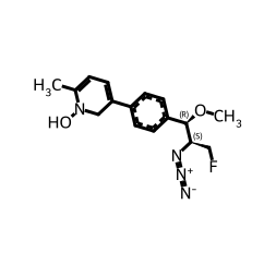 CO[C@H](c1ccc(C2=CC=C(C)N(O)C2)cc1)[C@@H](CF)N=[N+]=[N-]